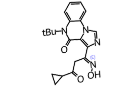 CC(C)(C)n1c(=O)c2c(/C(CC(=O)C3CC3)=N/O)ncn2c2ccccc21